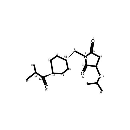 CC(C)SC1CC(=O)N(C[C@H]2CC[C@H](C(=O)C(C)C)CC2)C1=O